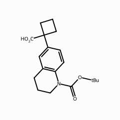 CC(C)(C)OC(=O)N1CCCc2cc(C3(C(=O)O)CCC3)ccc21